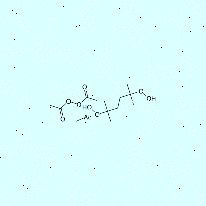 CC(=O)OOC(C)=O.CC(C)(CCC(C)(C)OO)OO.CC(C)=O